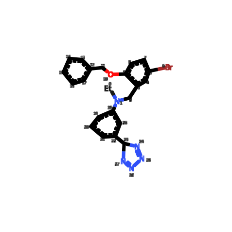 CCN(Cc1cc(Br)ccc1OCc1ccccc1)c1cccc(C2N=NN=N2)c1